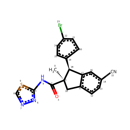 C[C@@]1(C(=O)Nc2nncs2)Cc2ccc(C#N)cc2[C@@H]1c1ccc(Br)cc1